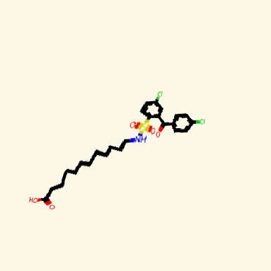 O=C(O)CCCCCCCCCCCNS(=O)(=O)c1ccc(Cl)cc1C(=O)c1ccc(Cl)cc1